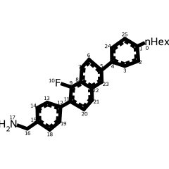 CCCCCCc1ccc(-c2ccc3c(F)c(-c4ccc(CN)cc4)ccc3c2)cc1